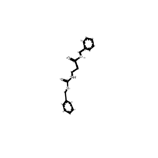 O=C(C[CH]NC(=O)OCc1ccccc1)OCc1ccccc1